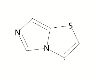 [c]1csc2cncn12